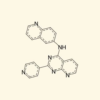 c1cnc2ccc(Nc3nc(-c4ccncc4)nc4ncccc34)cc2c1